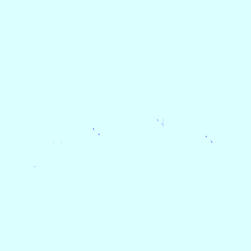 CC(C)(C)OC(=O)NCCNc1ccccc1N